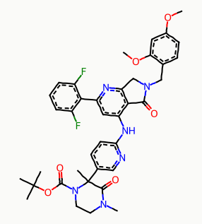 COc1ccc(CN2Cc3nc(-c4c(F)cccc4F)cc(Nc4ccc(C5(C)C(=O)N(C)CCN5C(=O)OC(C)(C)C)cn4)c3C2=O)c(OC)c1